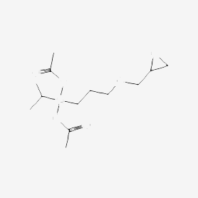 CC(=O)O[Si](CCCOCC1CO1)(OC(C)=O)C(C)C